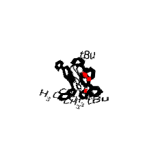 CC(C)(C)c1ccc(N2B3c4c(cc(-c5ccccc5)cc4N(c4ccc(C(C)(C)C)cc4-c4ccccc4)c4ccc5c(sc6ccccc65)c43)-c3cc4c(cc32)C(C)(C)CCC4(C)C)cc1